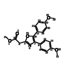 COC(=O)Cc1nc(-c2ccc(OC)cc2)c(-c2ccc(OC)cc2)o1